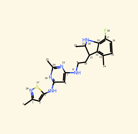 Cc1cc(Nc2cc(NCCC3c4c(C)ccc(F)c4NC3C)nc(C)n2)sn1